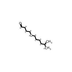 CC(C)CCCCOCCCC=O